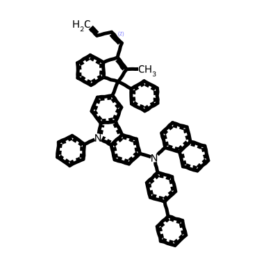 C=C/C=C\C1=C(C)C(c2ccccc2)(c2ccc3c(c2)c2cc(N(c4ccc(-c5ccccc5)cc4)c4cccc5ccccc45)ccc2n3-c2ccccc2)c2ccccc21